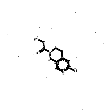 CC(C)CC(=O)N1CCc2cc(Cl)ncc2C1